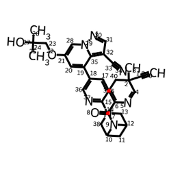 C#CC1(C)C=NC(C(=O)N2C3CC2CN(c2ccc(-c4cc(OCC(C)(C)O)cn5ncc(C#N)c45)cn2)C3)=CC1